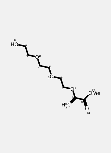 C=C(OCCOCCOCCO)C(=O)OC